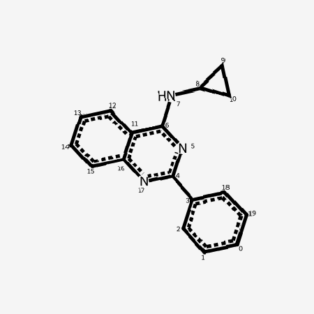 c1ccc(-c2nc(NC3CC3)c3ccccc3n2)cc1